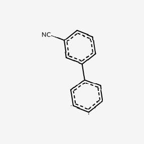 N#Cc1cccc(-c2c[c][c]cc2)c1